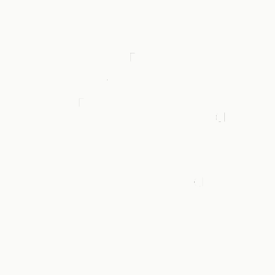 FC(F)(F)c1cc(Cl)c(Cl)c2c1-c1ccccc1-2